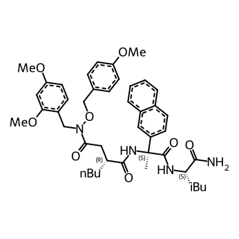 CCCC[C@H](CC(=O)N(Cc1ccc(OC)cc1OC)OCc1ccc(OC)cc1)C(=O)N[C@](C)(C(=O)N[C@H](C(N)=O)C(C)CC)c1ccc2ccccc2c1